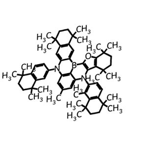 Cc1cc2c3c(c1)N(c1ccc4c(c1C)C(C)(C)CCC4(C)C)c1c(oc4c1C(C)(C)CCC4(C)C)B3c1cc3c(cc1N2c1ccc2c(c1)C(C)(C)CCC2(C)C)C(C)(C)CCC3(C)C